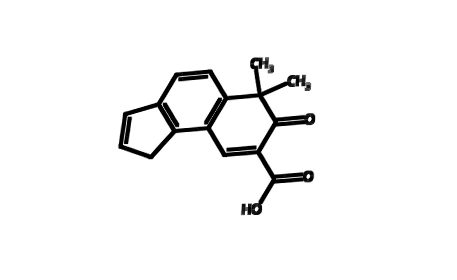 CC1(C)C(=O)C(C(=O)O)=Cc2c1ccc1c2CC=C1